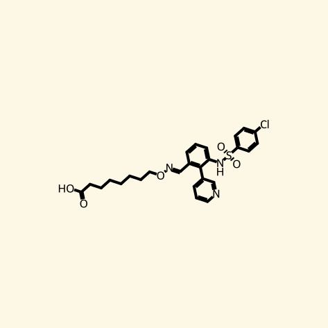 O=C(O)CCCCCCCON=Cc1cccc(NS(=O)(=O)c2ccc(Cl)cc2)c1-c1cccnc1